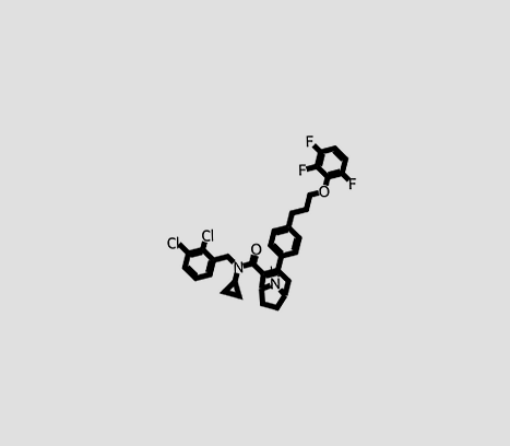 O=C(C1=C(c2ccc(CCCOc3c(F)ccc(F)c3F)cc2)CC2CCC1N2)N(Cc1cccc(Cl)c1Cl)C1CC1